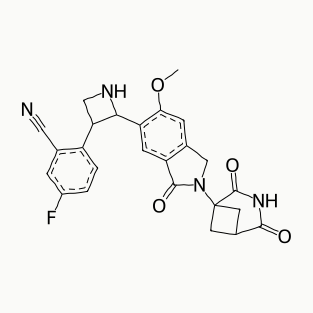 COc1cc2c(cc1C1NCC1c1ccc(F)cc1C#N)C(=O)N(C13CC(C1)C(=O)NC3=O)C2